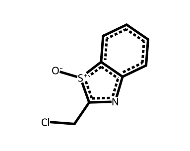 [O-][s+]1c(CCl)nc2ccccc21